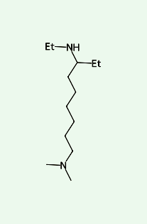 CCNC(CC)CCCCCCN(C)C